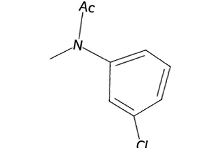 [CH2]C(=O)N(C)c1cccc(Cl)c1